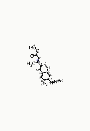 C/C(=C\C(=O)OC(C)(C)C)c1ccc2cc(N=[N+]=[N-])c(C#N)cc2c1